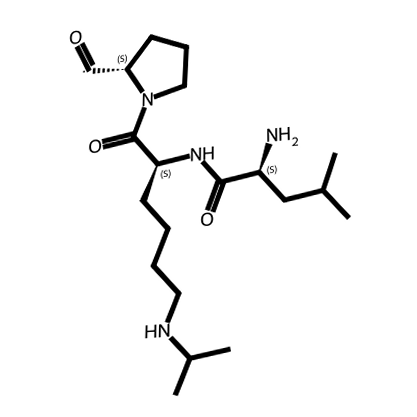 CC(C)C[C@H](N)C(=O)N[C@@H](CCCCNC(C)C)C(=O)N1CCC[C@H]1[C]=O